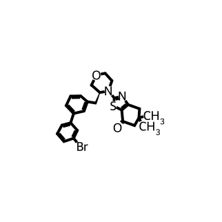 CC1(C)CC(=O)c2sc(N3CCOC[C@@H]3Cc3cccc(-c4cccc(Br)c4)c3)nc2C1